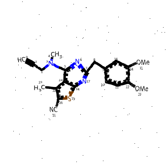 C#CCN(C)c1nc(Cc2ccc(OC)c(OC)c2)nc2sc(C#N)c(C)c12